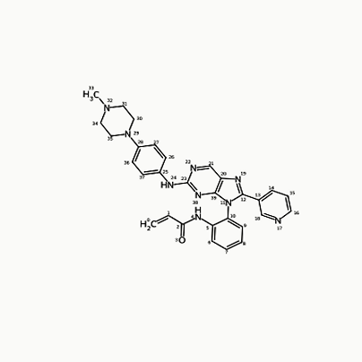 C=CC(=O)Nc1ccccc1-n1c(-c2cccnc2)nc2cnc(Nc3ccc(N4CCN(C)CC4)cc3)nc21